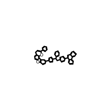 C1=C(c2ccccc2)Oc2c(ccc3oc4ccc(-c5ccc(C(Cc6ccc(-c7cc8ccccc8c8ccccc78)cc6)c6ccccc6)cc5)cc4c23)C1